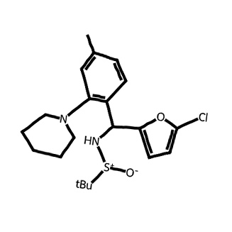 Cc1ccc(C(N[S+]([O-])C(C)(C)C)c2ccc(Cl)o2)c(N2CCCCC2)c1